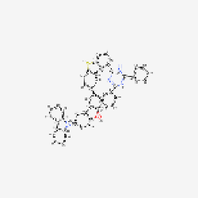 c1ccc(C2=NC(c3cccc4sc5ccc(-c6ccc7oc8ccc(-n9c%10ccccc%10c%10ccccc%109)cc8c7c6)cc5c34)NC(c3ccccc3)=N2)cc1